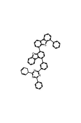 C1=CCC(c2nc(-c3ccccc3)nc(-c3cccc(-c4ccc(-c5cccc6c5sc5c(-c7ccccc7)cccc56)c5oc6ccccc6c45)c3)n2)C=C1